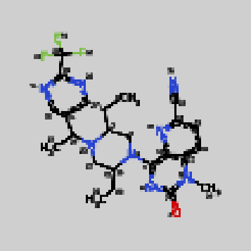 CCC1CN(c2nc(=O)n(C)c3ccc(C#N)nc23)[C@@H](CC)CN1C(C)c1cnc(C(F)(F)F)nc1